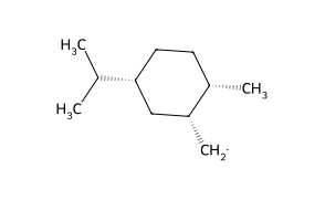 [CH2][C@@H]1C[C@H](C(C)C)CC[C@@H]1C